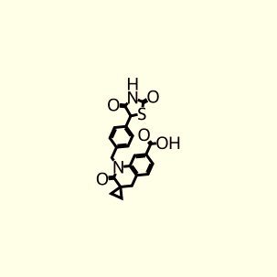 O=C1NC(=O)C(c2ccc(CN3C(=O)C4(CC4)Cc4ccc(C(=O)O)cc43)cc2)S1